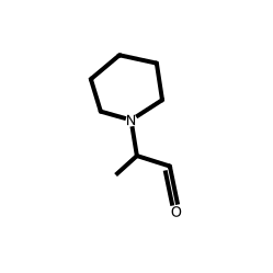 CC(C=O)N1CCCCC1